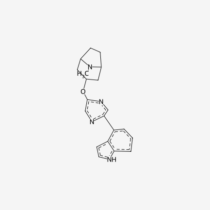 CN1C2CCC1CC(Oc1cnc(-c3cccc4[nH]ccc34)cn1)C2